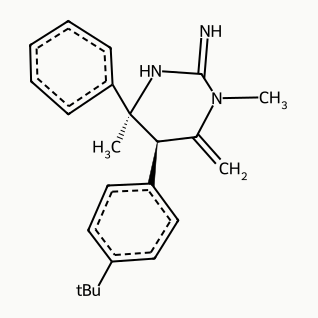 C=C1[C@@H](c2ccc(C(C)(C)C)cc2)[C@@](C)(c2ccccc2)NC(=N)N1C